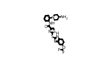 NC1CCN(c2ccccc2NC(=O)c2csc(Sc3nc4cc(OC(F)F)ccc4[nH]3)n2)CC1